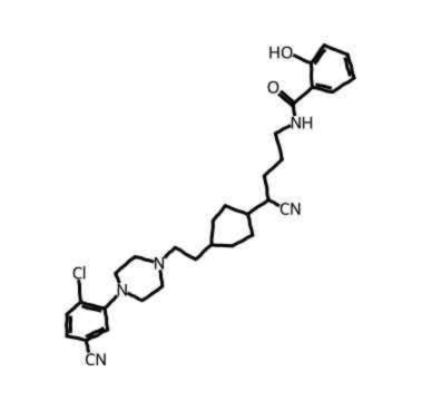 N#Cc1ccc(Cl)c(N2CCN(CCC3CCC(C(C#N)CCCNC(=O)c4ccccc4O)CC3)CC2)c1